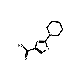 O=C(O)c1coc(N2CCCCC2)n1